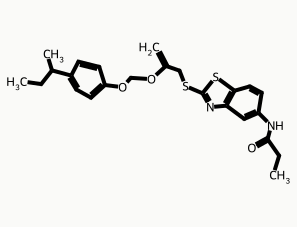 C=C(CSc1nc2cc(NC(=O)CC)ccc2s1)OCOc1ccc(C(C)CC)cc1